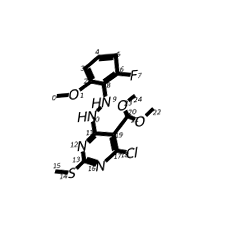 COc1cccc(F)c1NNc1nc(SC)nc(Cl)c1C(OC)OC